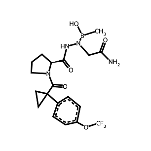 CB(O)N(CC(N)=O)NC(=O)[C@@H]1CCCN1C(=O)C1(c2ccc(OC(F)(F)F)cc2)CC1